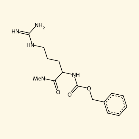 [CH2]NC(=O)C(CCCNC(=N)N)NC(=O)OCc1ccccc1